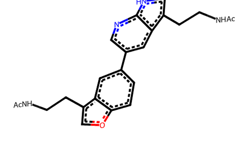 CC(=O)NCCc1c[nH]c2ncc(-c3ccc4occ(CCNC(C)=O)c4c3)cc12